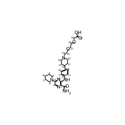 NC(=O)c1ncc(N2CCCCC2)nc1Nc1ccc(C2CCN(CCOCCOCC(=O)O)CC2)cc1